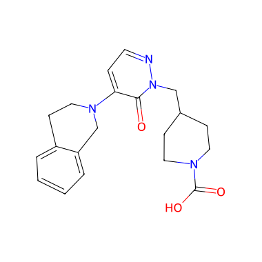 O=C(O)N1CCC(Cn2nccc(N3CCc4ccccc4C3)c2=O)CC1